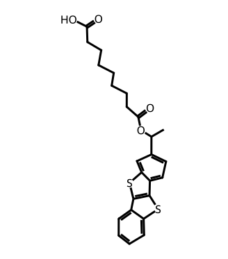 CC(OC(=O)CCCCCCCC(=O)O)c1ccc2c(c1)sc1c3ccccc3sc21